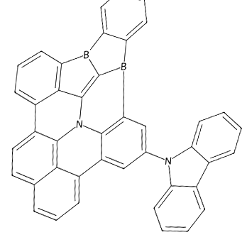 c1ccc2c(c1)B1C3=C4c5c1cccc5-c1ccc5cccc6c5c1N4c1c(cc(-n4c5ccccc5c5ccccc54)cc1-6)B32